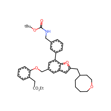 CCOC(=O)Cc1ccccc1OCc1cc(-c2cccc(CNC(=O)OC(C)(C)C)c2)c2oc(CC3CCCCOCC3)cc2c1